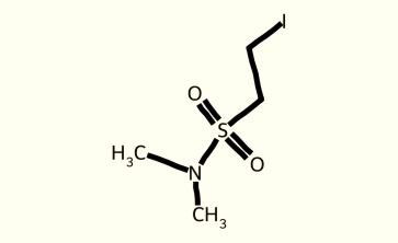 CN(C)S(=O)(=O)CCI